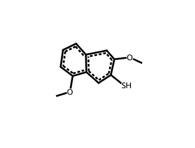 COc1cc2cccc(OC)c2cc1S